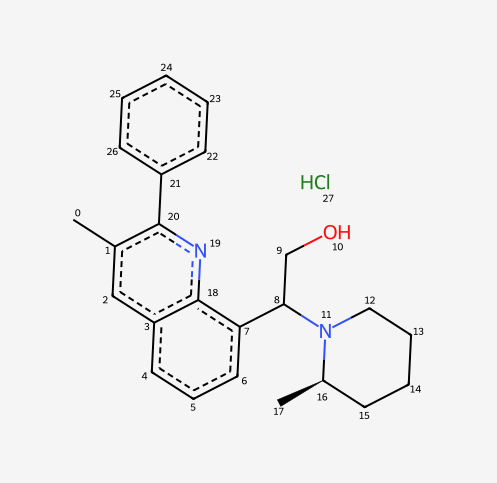 Cc1cc2cccc(C(CO)N3CCCC[C@H]3C)c2nc1-c1ccccc1.Cl